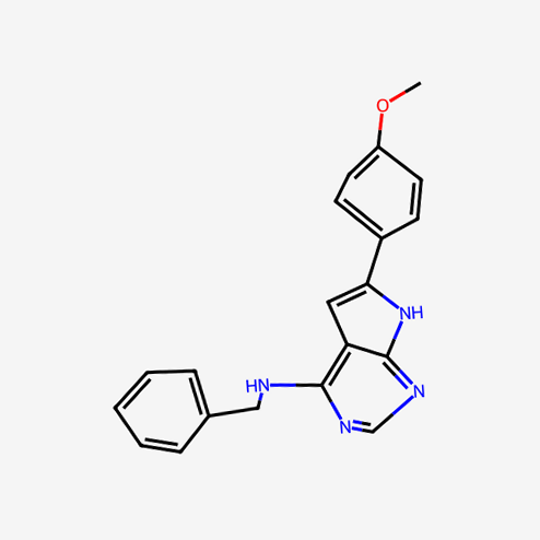 COc1ccc(-c2cc3c(NCc4ccccc4)ncnc3[nH]2)cc1